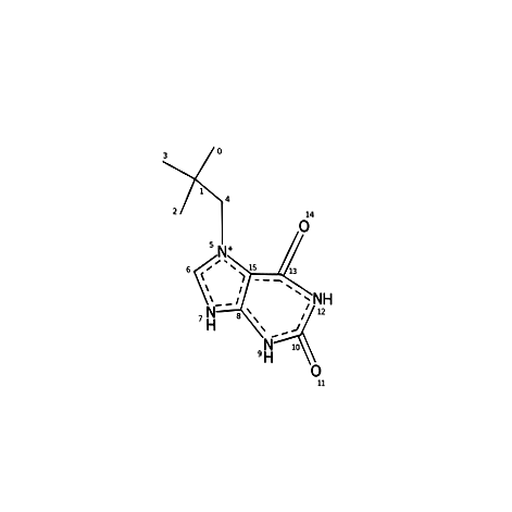 CC(C)(C)C[n+]1c[nH]c2[nH]c(=O)[nH]c(=O)c21